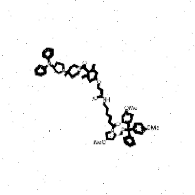 COc1ccc(C(OC[C@@H]2C[C@@H](OC)CN2C(=O)CCCCCNC(=O)CCOc2cc(C)c(C(=O)N3CCC(C)(N4CCC(N(c5ccccc5)c5ccccc5)CC4)CC3)c(C)c2)(c2ccccc2)c2ccc(OC)cc2)cc1